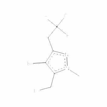 Cn1nc(CC(F)(F)F)c(Br)c1CO